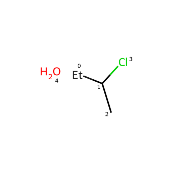 CCC(C)Cl.O